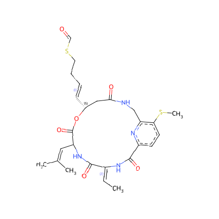 C/C=C1\NC(=O)c2ccc(SC)c(n2)CNC(=O)C[C@@H](/C=C/CCSC=O)OC(=O)C(C=C(C)C)NC1=O